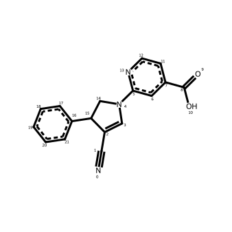 N#CC1=CN(c2cc(C(=O)O)ccn2)CC1c1ccccc1